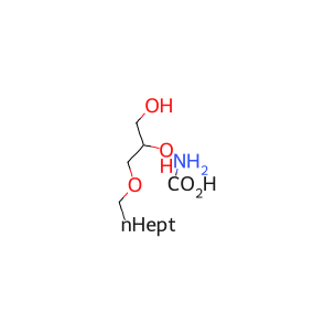 CCCCCCCCOCC(O)CO.NC(=O)O